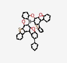 c1ccc(-c2ccc3oc4c5c(c6sc7ccccc7c6c4c3c2)Oc2cccc3c2B5c2c(c4oc5ccccc5c4c4c2sc2ccccc24)O3)cc1